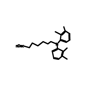 CCCCCCCCCCCCCCCCN(c1cccc(C)c1C)c1cccc(C)c1C